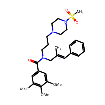 COc1cc(C(=O)N(CCCN2CCN(S(C)(=O)=O)CC2)C/C(C)=C/c2ccccc2)cc(OC)c1OC